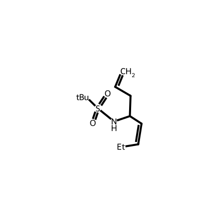 C=CCC(/C=C\CC)NS(=O)(=O)C(C)(C)C